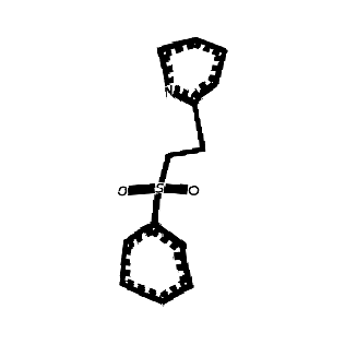 O=S(=O)(CCc1ccccn1)c1cc[c]cc1